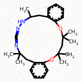 BC1(C)CC(C)(C)Oc2ccccc2CC(C)NN=C=NC(C)(C)Cc2ccccc2O1